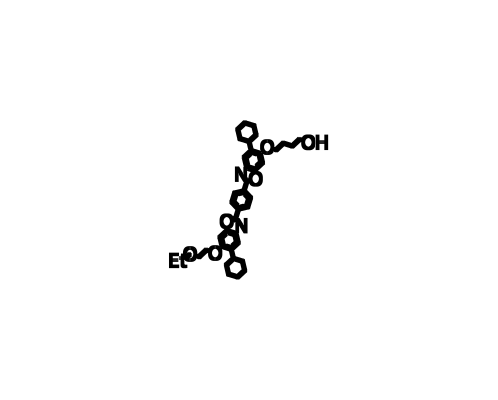 CCOCCOc1cc2oc(-c3ccc(-c4nc5cc(C6CCCCC6)c(OCCCCO)cc5o4)cc3)nc2cc1C1CCCCC1